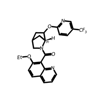 CCOc1ccc2cccnc2c1C(=O)N1CC2CC(Oc3ccc(C(F)(F)F)cn3)[C@H]1C2